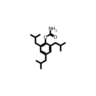 CC(C)Cc1cc(CC(C)C)c(OC(N)=O)c(CC(C)C)c1